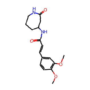 COc1ccc(C=CC(=O)NC2CCCNC(=O)C2)cc1OC